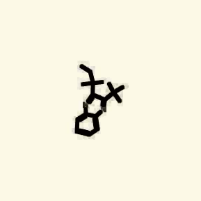 CCC(C)(C)c1nc2ccccc2nc1C(C)(C)C